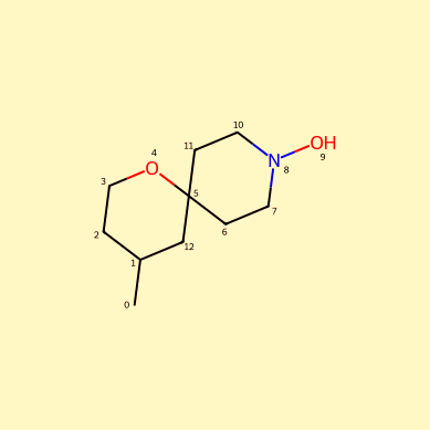 CC1CCOC2(CCN(O)CC2)C1